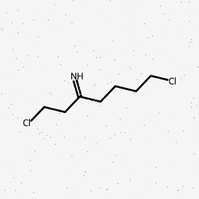 N=C(CCCl)CCCCCl